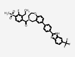 CCc1c(C(=O)N2CCOc3ccc(-c4ccc(-c5nc6ccc(C(F)(F)F)cc6[nH]5)cc4)cc3C2)ccc(S(C)(=O)=O)c1F